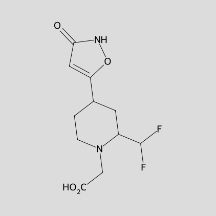 O=C(O)CN1CCC(c2cc(=O)[nH]o2)CC1C(F)F